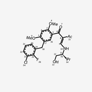 COc1cc(OC)c(C(=O)C(=CN[C@H](CO)C(C)C)C(C)=O)cc1Cc1cccc(Cl)c1F